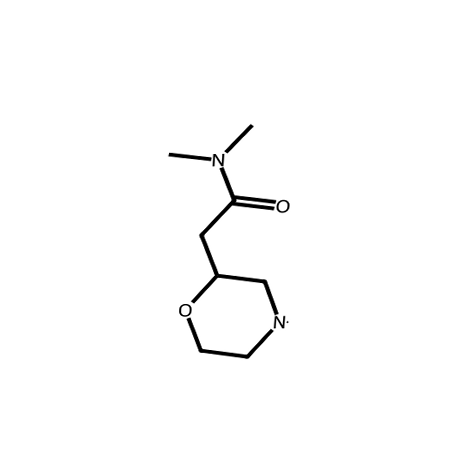 CN(C)C(=O)CC1C[N]CCO1